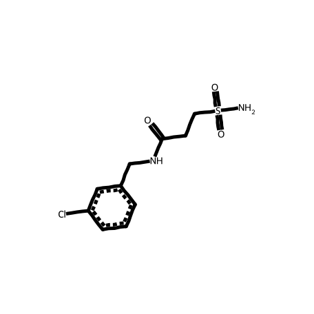 NS(=O)(=O)CCC(=O)NCc1cccc(Cl)c1